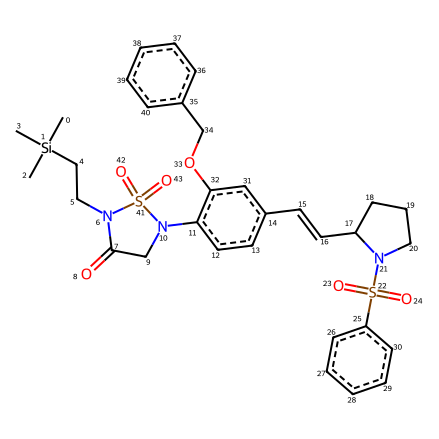 C[Si](C)(C)CCN1C(=O)CN(c2ccc(/C=C/C3CCCN3S(=O)(=O)c3ccccc3)cc2OCc2ccccc2)S1(=O)=O